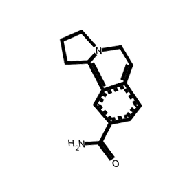 NC(=O)c1ccc2c(c1)=C1CCCN1CC=2